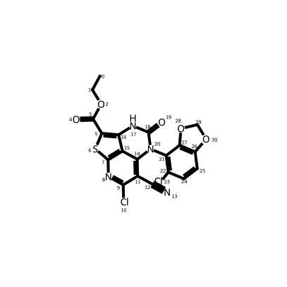 CCOC(=O)c1sc2nc(Cl)c(C#N)c3c2c1NC(=O)N3c1c(Cl)ccc2c1OCO2